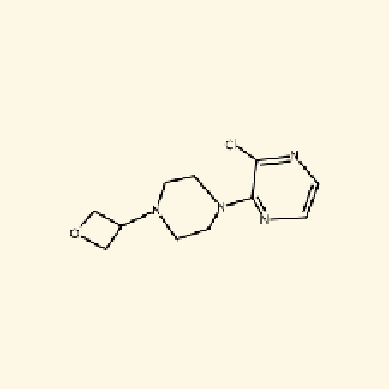 Clc1nccnc1N1CCN(C2COC2)CC1